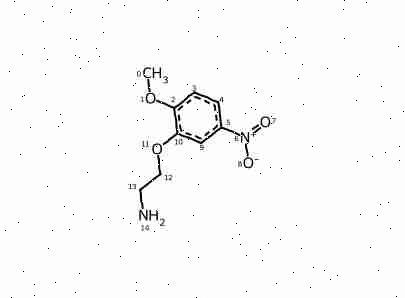 COc1ccc([N+](=O)[O-])cc1OCCN